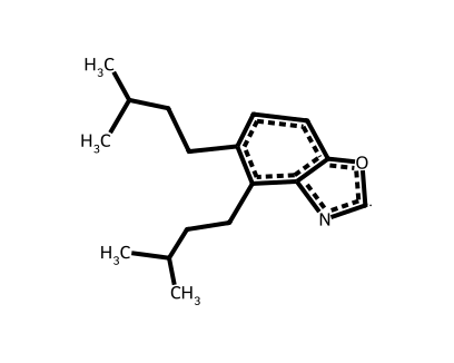 CC(C)CCc1ccc2o[c]nc2c1CCC(C)C